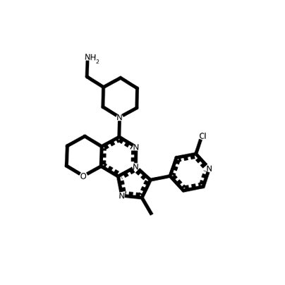 Cc1nc2c3c(c(N4CCCC(CN)C4)nn2c1-c1ccnc(Cl)c1)CCCO3